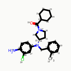 Nc1ccc(N(Cc2ccccc2C(F)(F)F)[C@H]2CCN(C(=O)C3CCCCC3)C2)cc1Cl